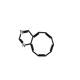 c1ccccc2ncncc2ccc1